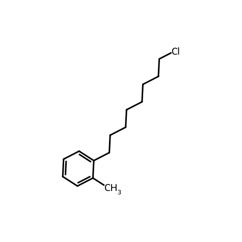 Cc1ccccc1CCCCCCCCCl